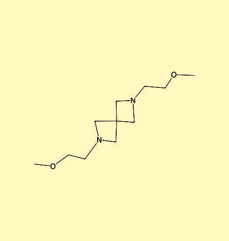 COCCN1CC2(C1)CN(CCOC)C2